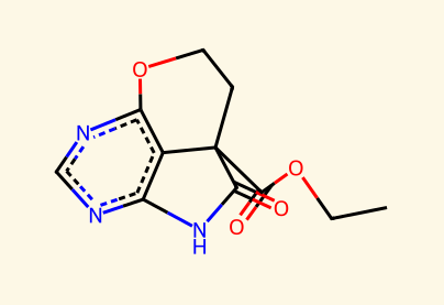 CCOC(=O)C12CCOc3ncnc(c31)NC2=O